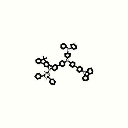 CC1(C)c2ccccc2-c2cc3c(cc21)c1cc(-c2ccc(N(c4ccc(-c5ccc(-n6c7ccccc7c7ccccc76)cc5)cc4)c4ccc(P(c5ccccc5)c5ccccc5)cc4)cc2)ccc1n3-c1nc(-c2ccccc2)nc(-c2ccccc2)n1